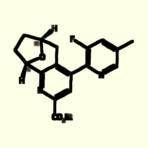 CCOC(=O)c1cc(-c2ncc(C)cc2F)c2c(n1)[C@@H]1CC[C@H](C2)O1